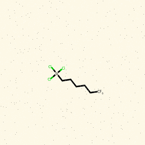 FC(F)(F)CCCCC[Si](Cl)(Cl)Cl